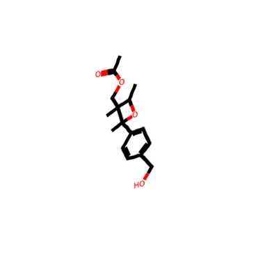 CC(=O)OCC1(C)C(C)OC1(C)c1ccc(CO)cc1